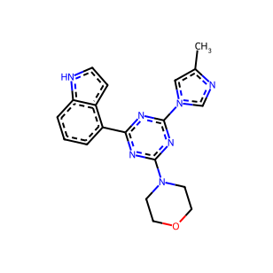 Cc1cn(-c2nc(-c3cccc4[nH]ccc34)nc(N3CCOCC3)n2)cn1